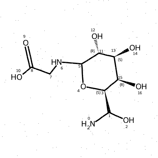 NC(O)[C@H]1OC(NCC(=O)O)[C@H](O)[C@@H](O)[C@H]1O